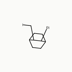 CCC1C2CCC(CC2)C1CI